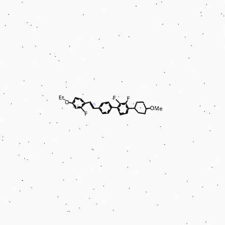 CCOc1ccc(/C=C/c2ccc(-c3ccc(C4CCC(OC)CC4)c(F)c3F)cc2)c(F)c1